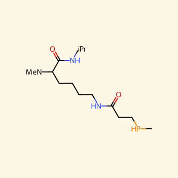 CNC(CCCCNC(=O)CCPC)C(=O)NC(C)C